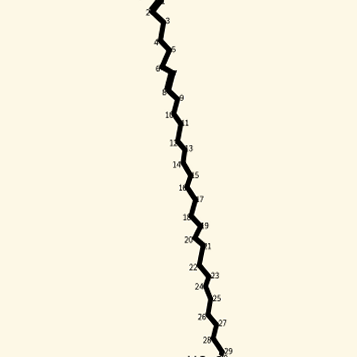 CCCCCCC/C=C/CCCC/C=C/CCCCCCCCCCCCCCCCCCCCCC(=O)O